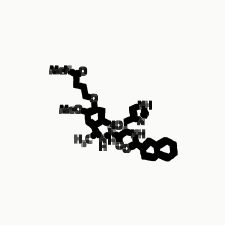 CNC(=O)CCCOc1cc([N+](=O)[O-])c(C(C)NNC(=O)[C@H](Cc2c[nH]cn2)NC(=O)c2ccc3ccccc3c2)cc1OC